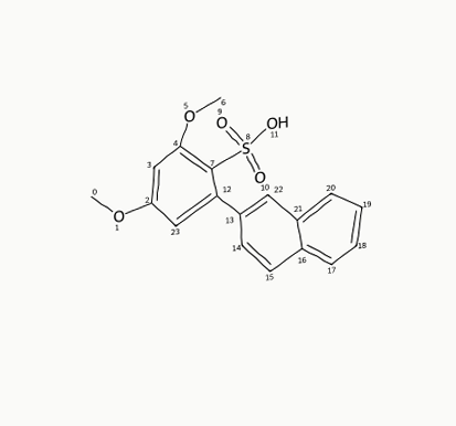 COc1cc(OC)c(S(=O)(=O)O)c(-c2ccc3ccccc3c2)c1